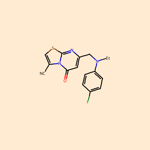 CCN(Cc1cc(=O)n2c(C#N)csc2n1)c1ccc(F)cc1